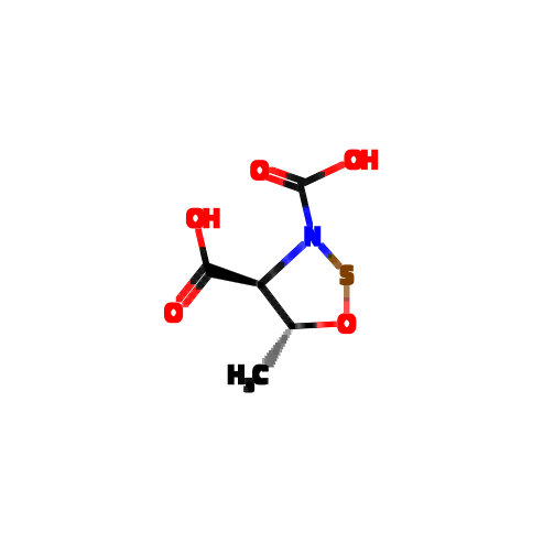 C[C@H]1OSN(C(=O)O)[C@@H]1C(=O)O